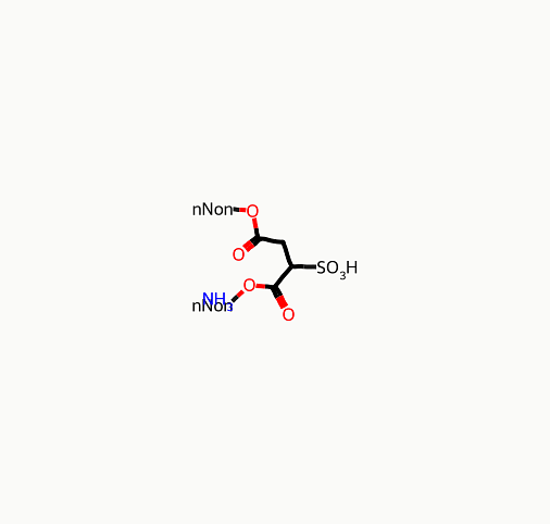 CCCCCCCCCOC(=O)CC(C(=O)OCCCCCCCCC)S(=O)(=O)O.N